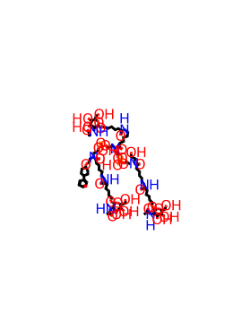 CC(=O)NC1C(OCCCCCC(=O)NCCCCCC(=O)N(CCO)CCOP(=O)(O)OCCN(CCOP(=O)(O)OCCN(CCOC2CCC(c3ccccc3)CC2)C(=O)CCCCCNC(=O)CCCCCOC2OC(CO)C(O)C(O)C2NC(C)=O)C(=O)CCCCCNC(=O)CCCCCOC2OC(CO)C(O)C(O)C2NC(C)=O)OC(CO)C(O)C1O